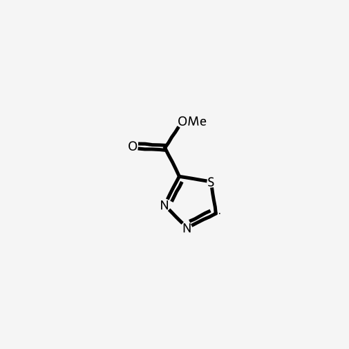 COC(=O)c1nn[c]s1